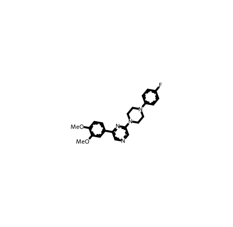 COc1ccc(-c2cncc(N3CCN(c4ccc(F)cc4)CC3)n2)cc1OC